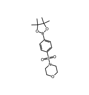 CC1(C)OB(c2ccc(S(=O)(=O)N3CCOCC3)cc2)OC1(C)C